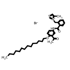 CCCCCCCCCCCCCCOc1ccc(NC(=O)c2ccccc2C[n+]2cscc2C)cc1C(C)=O.[Br-]